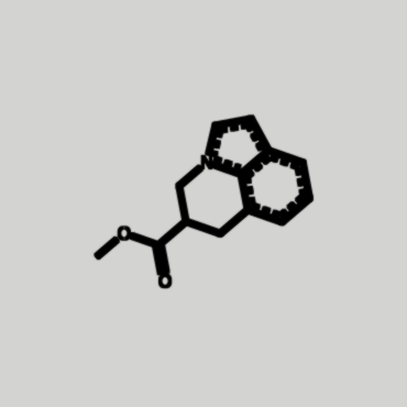 COC(=O)C1Cc2cccc3ccn(c23)C1